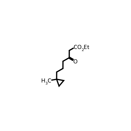 CCOC(=O)CC(=O)CCCC1(C)CC1